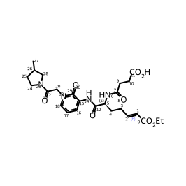 CCOC(=O)/C=C/CC[C@H](NC(=O)CCC(=O)O)C(=O)Nc1cccn(CC(=O)N2CCC(C)C2)c1=O